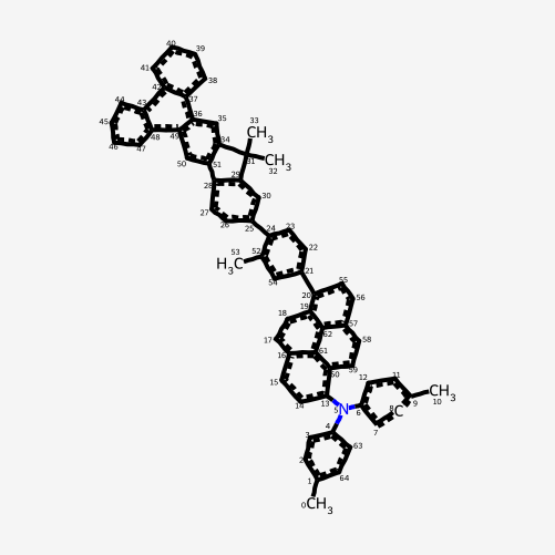 Cc1ccc(N(c2ccc(C)cc2)c2ccc3ccc4c(-c5ccc(-c6ccc7c(c6)C(C)(C)c6cc8c9ccccc9c9ccccc9c8cc6-7)c(C)c5)ccc5ccc2c3c54)cc1